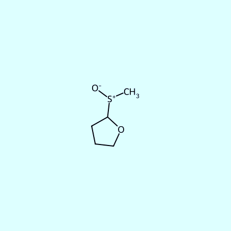 C[S+]([O-])C1CCCO1